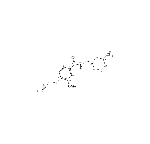 C#CCCc1ccc(C(=O)NCC2CCCC(C)C2)cc1OC